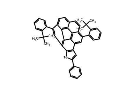 CC(C)(C)c1ccccc1-c1cc2c3cc(-c4ccccc4)[te]c3c3cc(-c4ccccc4C(C)(C)C)c4ccc5ccc1c1c5c4c3c21